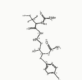 COC(=O)NC(C(=O)NNCC(O)C(Cc1ccc(I)cc1)OC(N)=O)C(C)(C)CF